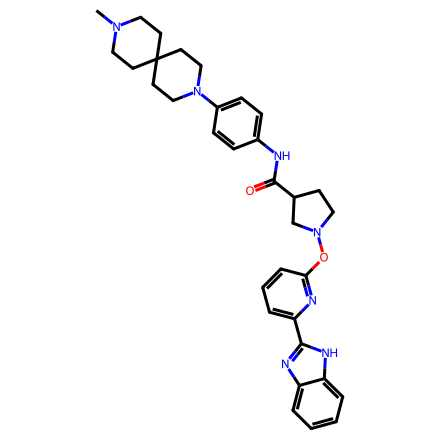 CN1CCC2(CC1)CCN(c1ccc(NC(=O)C3CCN(Oc4cccc(-c5nc6ccccc6[nH]5)n4)C3)cc1)CC2